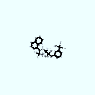 [2H]C([2H])([2H])[C@@H](NC([2H])([2H])C([2H])([2H])Cc1cccc(C(F)(F)F)c1)c1cccc2ccccc12